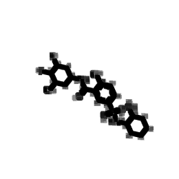 O=C(NC1CC(F)C(F)C(Cl)C1)c1cc(S(=O)(=O)NC2CCCCC2O)ccc1Cl